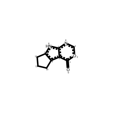 O=c1ocnc2[nH]c3c(c12)CCC3